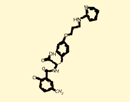 Cc1ccc(Cl)c(C(=O)N[C@@H](Cc2ccc(OCCCNc3ccccn3)cc2)C(=O)O)c1